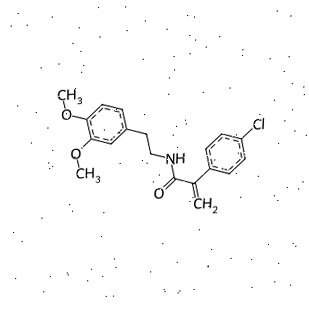 C=C(C(=O)NCCc1ccc(OC)c(OC)c1)c1ccc(Cl)cc1